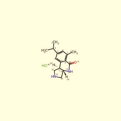 Cc1cc(C(C)C)cc2c1C(=O)N[C@@H]1CNC[C@@H]21.Cl